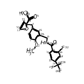 COc1ccc(CC2(C(=O)O)C=CCO2)cc1CNC(=O)c1ccc(C(F)(F)F)cc1F